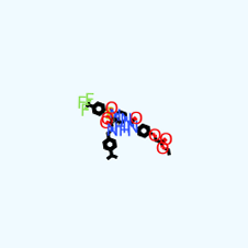 CCOC(=O)COc1ccc(NC(=O)N2CCN(S(=O)(=O)c3ccc(C(F)(F)F)cc3)[C@@H](C(=O)NCc3ccc(C(C)C)cc3)C2)cc1